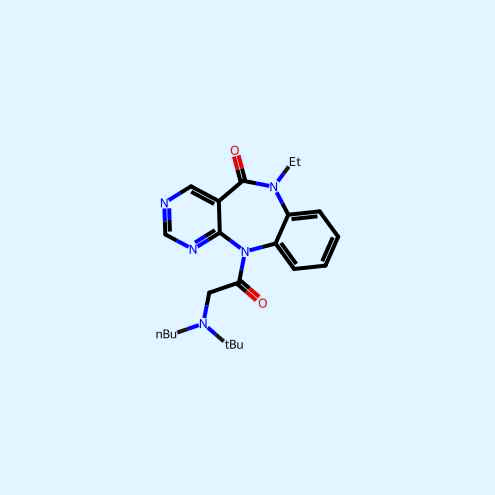 CCCCN(CC(=O)N1c2ccccc2N(CC)C(=O)c2cncnc21)C(C)(C)C